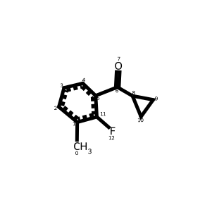 Cc1cccc(C(=O)C2CC2)c1F